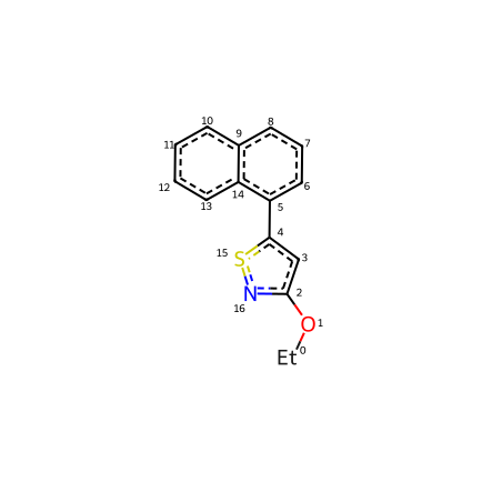 CCOc1cc(-c2cccc3ccccc23)sn1